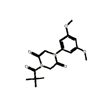 COc1cc(OC)cc(N2CC(=O)N(C(=O)C(C)(C)C)CC2=O)c1